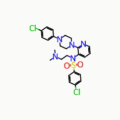 CN(C)CCN(c1cccnc1N1CCN(c2ccc(Cl)cc2)CC1)S(=O)(=O)c1ccc(Cl)cc1